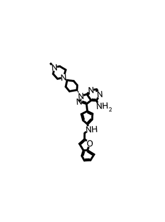 CN1CCN([C@H]2CC[C@@H](n3nc(-c4ccc(NCc5cc6ccccc6o5)cc4)c4c(N)ncnc43)CC2)CC1